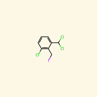 Clc1cccc(C(Cl)Cl)c1CI